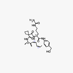 C=C(/C=C\C=C/C)[C@@H](C)NC(=O)C1(C(=O)N[C@@H](CCCNC(N)=O)C(=O)Nc2ccc(CO)cc2)CCC1